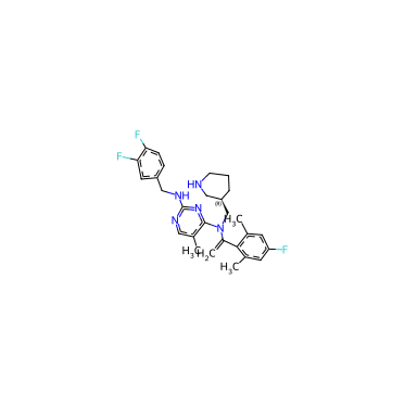 C=C(c1c(C)cc(F)cc1C)N(C[C@@H]1CCCNC1)c1nc(NCc2ccc(F)c(F)c2)ncc1C